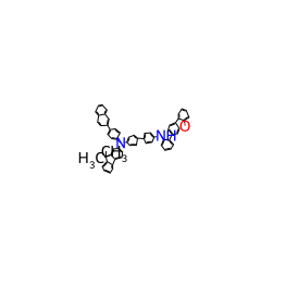 CC1(C)c2ccccc2-c2ccc(N(c3ccc(-c4ccc(Nc5ccccc5-c5ccc6c(c5)oc5ccccc56)cc4)cc3)c3ccc(-c4ccc5ccccc5c4)cc3)cc21